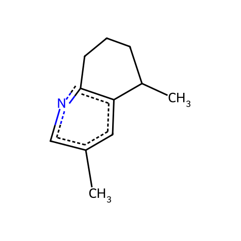 Cc1cnc2c(c1)C(C)CCC2